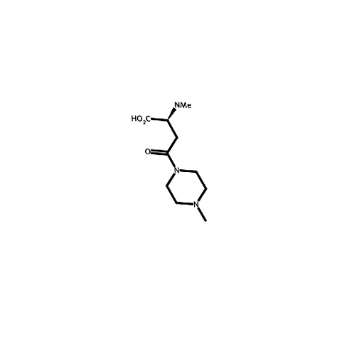 CN[C@@H](CC(=O)N1CCN(C)CC1)C(=O)O